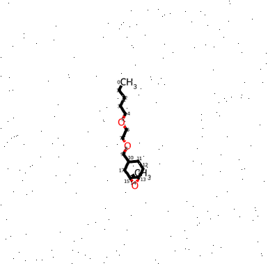 CCCCCOCCOCC1CCC2OC2(C)C1